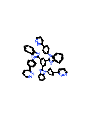 c1cnnc(-c2ccc(-n3c(-c4cc(-c5nc6ccccc6n5-c5ccc(-c6cccnn6)cc5)cc(-c5nc6ccccc6n5-c5ccc(-c6cccnn6)cc5)c4)nc4ccccc43)cc2)c1